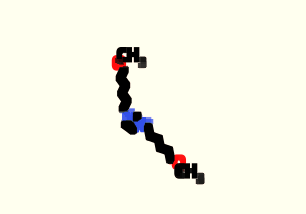 COCCCCCCn1cc[n+](CCCCCCOC)c1